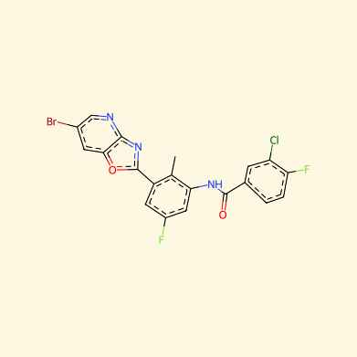 Cc1c(NC(=O)c2ccc(F)c(Cl)c2)cc(F)cc1-c1nc2ncc(Br)cc2o1